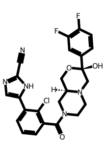 N#Cc1ncc(-c2cccc(C(=O)N3CCN4C[C@@](O)(c5ccc(F)c(F)c5)OC[C@@H]4C3)c2Cl)[nH]1